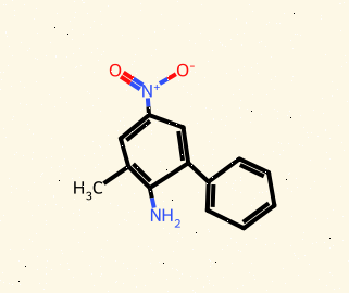 Cc1cc([N+](=O)[O-])cc(-c2ccccc2)c1N